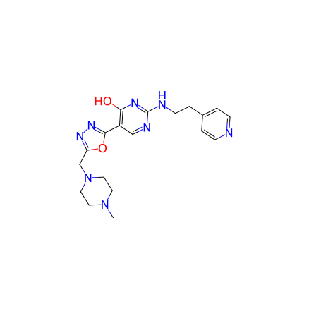 CN1CCN(Cc2nnc(-c3cnc(NCCc4ccncc4)nc3O)o2)CC1